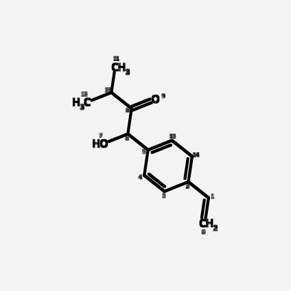 C=Cc1ccc(C(O)C(=O)C(C)C)cc1